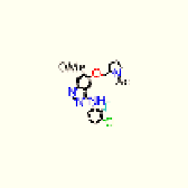 COc1cc2ncnc(Nc3cccc(Cl)c3F)c2cc1OCC1CCCN1C(C)=O